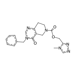 Cn1cnnc1COC(=O)N1CCc2ncn(Cc3ccccc3)c(=O)c2C1